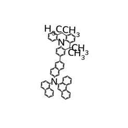 CC1(C)c2ccccc2N2c3ccc(-c4ccc5cc(N(c6cccc7ccccc67)c6cc7ccccc7c7ccccc67)ccc5c4)cc3C(C)(C)c3cccc1c32